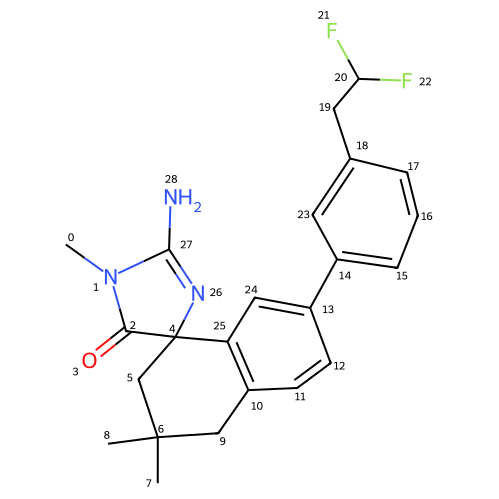 CN1C(=O)C2(CC(C)(C)Cc3ccc(-c4cccc(CC(F)F)c4)cc32)N=C1N